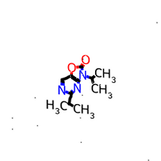 CC(C)c1ncc2oc(=O)n(C(C)C)c2n1